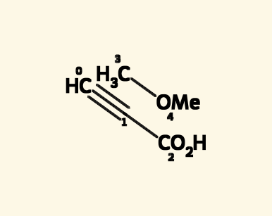 C#CC(=O)O.COC